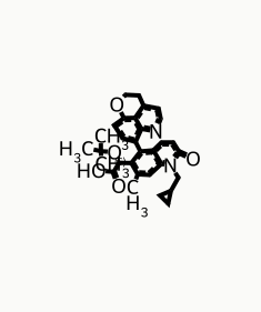 Cc1cc2c(ccc(=O)n2CC2CC2)c(-c2ccc3c4c(ccnc24)CCO3)c1[C@H](OC(C)(C)C)C(=O)O